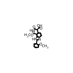 COC(=O)c1c(C(C(=O)O)C(=O)O)ccc2nc(-c3ccccc3OC)[nH]c12